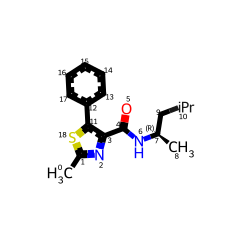 Cc1nc(C(=O)N[C@H](C)CC(C)C)c(-c2ccccc2)s1